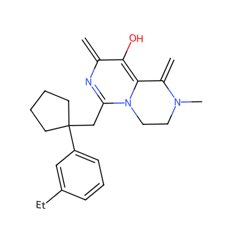 C=C1N=C(CC2(c3cccc(CC)c3)CCCC2)N2CCN(C)C(=C)C2=C1O